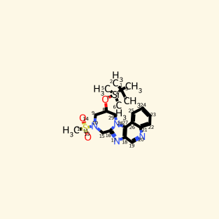 CC(C)(C)[Si](C)(C)OC1CN(S(C)(=O)=O)Cc2nc3cnc4ccccc4c3n2C1